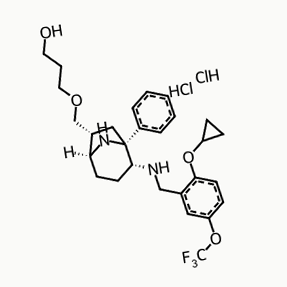 Cl.Cl.OCCCOC[C@@H]1C[C@]2(c3ccccc3)N[C@H]1CC[C@H]2NCc1cc(OC(F)(F)F)ccc1OC1CC1